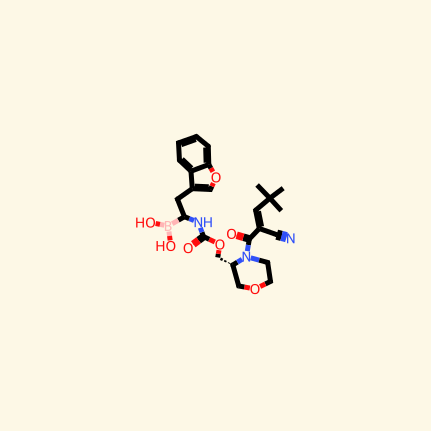 CC(C)(C)C=C(C#N)C(=O)N1CCOC[C@@H]1COC(=O)NC(Cc1coc2ccccc12)B(O)O